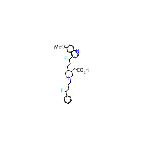 COc1ccc2nccc([C@@H](F)CC[C@@H]3CCN(CCCC(F)c4ccccc4)C[C@@H]3CC(=O)O)c2c1